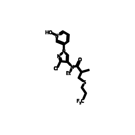 CCN(C(=O)C(C)CSCCC(F)(F)F)c1cn(-c2ccc[n+](O)c2)nc1Cl